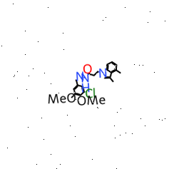 COc1cc(/C=N\NC(=O)CCn2cc(C)c3c(C)cccc32)cc(Cl)c1OC